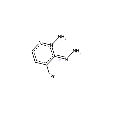 CC(C)c1ccnn(N)/c1=N\N